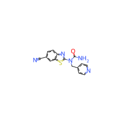 N#Cc1ccc2nc(N(Cc3ccncc3)C(N)=O)sc2c1